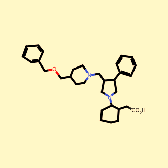 O=C(O)CC1CCCCC1N1CC(CN2CCC(COCc3ccccc3)CC2)C(c2ccccc2)C1